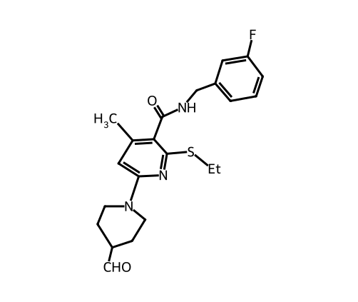 CCSc1nc(N2CCC(C=O)CC2)cc(C)c1C(=O)NCc1cccc(F)c1